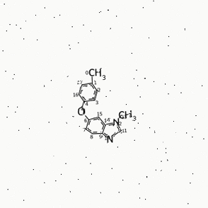 Cc1ccc(Oc2ccc3n[c]n(C)c3c2)cc1